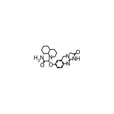 NC(=O)C(Oc1ccc2c(c1)CN1CC(=O)NC1=N2)N1CCCC2CCCCC21